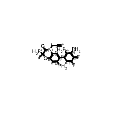 C#CCN1C(=O)C(P)(I)Oc2cc(P)c(-c3cc(F)c(F)c(P)c3P)cc21